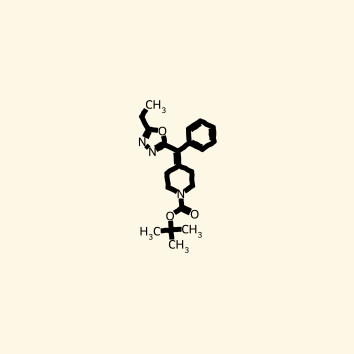 CCc1nnc(C(=C2CCN(C(=O)OC(C)(C)C)CC2)c2ccccc2)o1